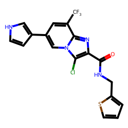 O=C(NCc1cccs1)c1nc2c(C(F)(F)F)cc(-c3cc[nH]c3)cn2c1Cl